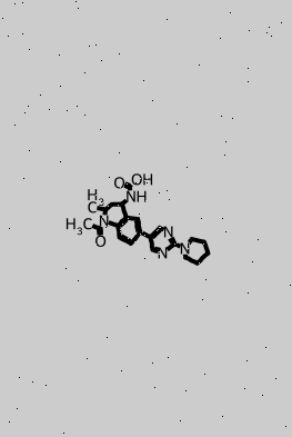 CC(=O)N1c2ccc(-c3cnc(N4CCCCC4)nc3)cc2C(NC(=O)O)CC1C